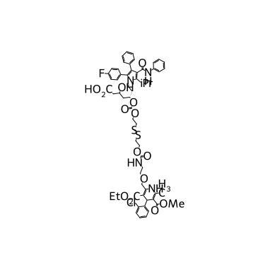 CCOC(=O)C1=C(COCCNC(=O)OCCSSCCOC(=O)O[C@@H](CCn2c(-c3ccc(F)cc3)c(-c3ccccc3)c(C(=O)Nc3ccccc3)c2C(C)C)C[C@H](O)CC(=O)O)NC(C)=C(C(=O)OC)C1c1ccccc1Cl